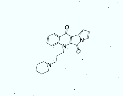 O=C1c2c(c(=O)c3ccccc3n2CCCN2CCCCC2)-c2cccn21